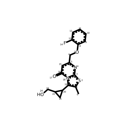 Cc1sc2nc(COc3ccccc3F)cc(=O)n2c1C1CC1CO